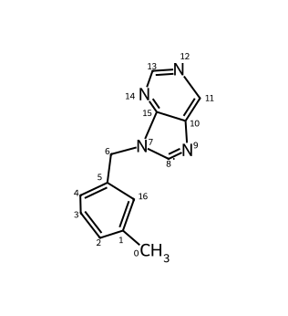 Cc1cccc(Cn2[c]nc3cncnc32)c1